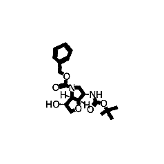 CC(C)(C)OC(=O)N[C@H]1CN(C(=O)OCc2ccccc2)[C@H]2[C@@H]1OC[C@@H]2O